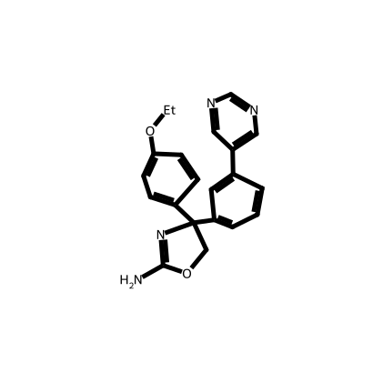 CCOc1ccc(C2(c3cccc(-c4cncnc4)c3)COC(N)=N2)cc1